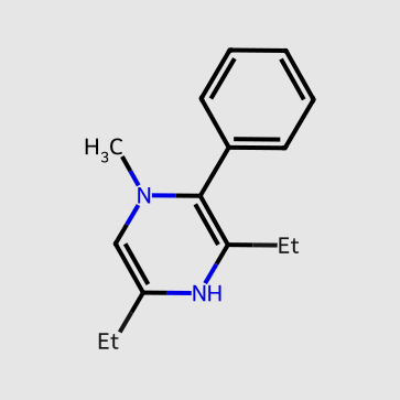 CCC1=CN(C)C(c2ccccc2)=C(CC)N1